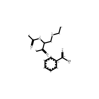 CCOCC(OC(C)=O)C(C)=O.S=C(S)c1ccccc1